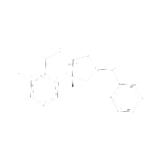 CCc1ccc2c(c1Cl)CC[C@@]1(C)CN(Cc3ccccc3)C[C@H]21